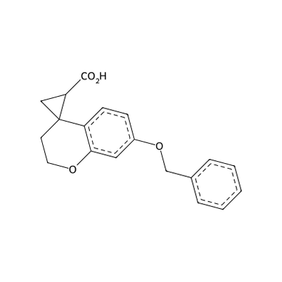 O=C(O)C1CC12CCOc1cc(OCc3ccccc3)ccc12